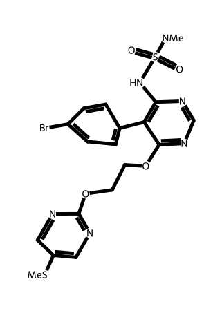 CNS(=O)(=O)Nc1ncnc(OCCOc2ncc(SC)cn2)c1-c1ccc(Br)cc1